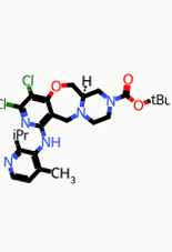 Cc1ccnc(C(C)C)c1Nc1nc(Cl)c(Cl)c2c1CN1CCN(C(=O)OC(C)(C)C)C[C@@H]1CO2